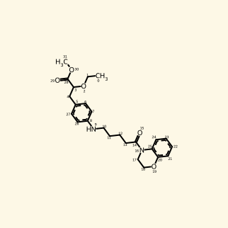 CCOC(Cc1ccc(NCCCCC(=O)N2CCOc3ccccc32)cc1)C(=O)OC